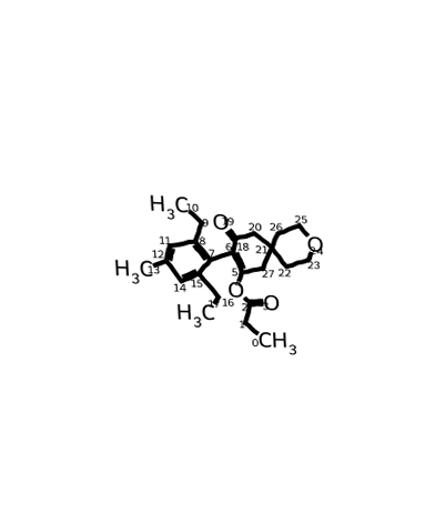 CCC(=O)OC1=C(c2c(CC)cc(C)cc2CC)C(=O)CC2(CCOCC2)C1